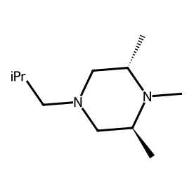 CC(C)CN1C[C@H](C)N(C)[C@@H](C)C1